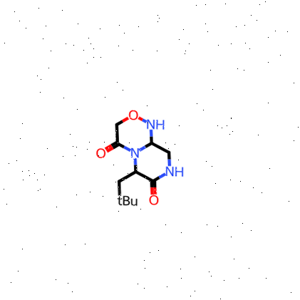 CC(C)(C)CC1C(=O)NCC2NOCC(=O)N21